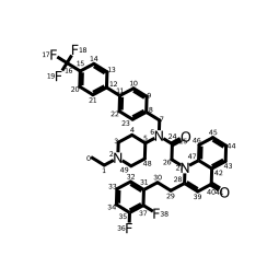 CCN1CCC(N(Cc2ccc(-c3ccc(C(F)(F)F)cc3)cc2)C(=O)Cn2c(CCc3cccc(F)c3F)cc(=O)c3ccccc32)CC1